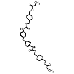 C=CC(=O)OCC1CCC(COC(=O)Nc2ccc(Cc3ccc(NC(=O)OCC4CCC(COC(=O)C=C)CC4)cc3)cc2)CC1